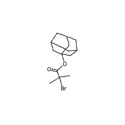 CC(C)(Br)C(=O)OC12CC3CC(CC(C3)C1)C2